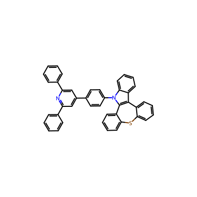 c1ccc(-c2cc(-c3ccc(-n4c5c(c6ccccc64)-c4ccccc4Sc4ccccc4-5)cc3)cc(-c3ccccc3)n2)cc1